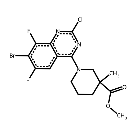 COC(=O)C1(C)CCCN(c2nc(Cl)nc3c(F)c(Br)c(F)cc23)C1